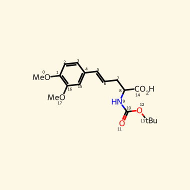 COc1ccc(C=CCC(NC(=O)OC(C)(C)C)C(=O)O)cc1OC